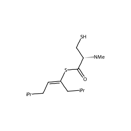 CN[C@@H](CS)C(=O)S/C(=C/CC(C)C)CC(C)C